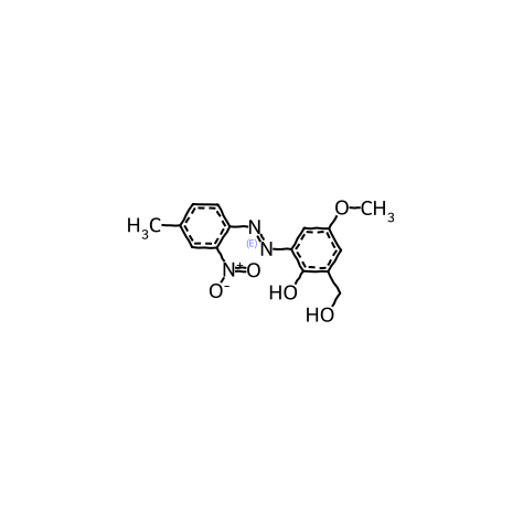 COc1cc(CO)c(O)c(/N=N/c2ccc(C)cc2[N+](=O)[O-])c1